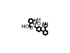 O=C(O)c1cccc2nc(O)n(Cc3ccc(-c4ccccc4C4=NN=NC4)cc3)c12